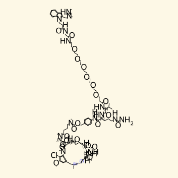 CNN(C)Cc1cc2ccccc2n1CCC(=O)NCC(=O)NCCOCCOCCOCCOCCOCCOCCC(=O)N[C@H](C(=O)N[C@@H](CCCNC(N)=O)C(=O)Nc1ccc(COC(=O)N(C)CCCC(=O)N(C)[C@@H](C)C(=O)O[C@H]2CC(=O)N(C)c3cc(cc(OC)c3Cl)C/C(C)=C/C=C/[C@@H](OC)[C@@]3(O)C[C@H](OC(=O)N3)C3(C)C[C@@]2(C)O3)cc1)C(C)C